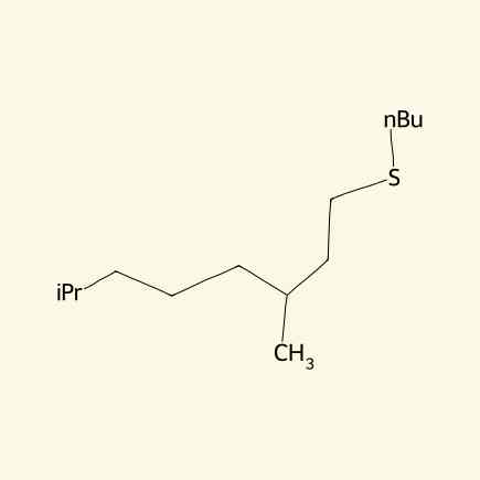 [CH2]CCCSCCC(C)CCCC(C)C